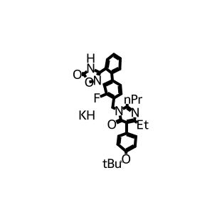 CCCc1nc(CC)c(-c2ccc(OC(C)(C)C)cc2)c(=O)n1Cc1ccc(-c2ccccc2-c2noc(=O)[nH]2)cc1F.[KH]